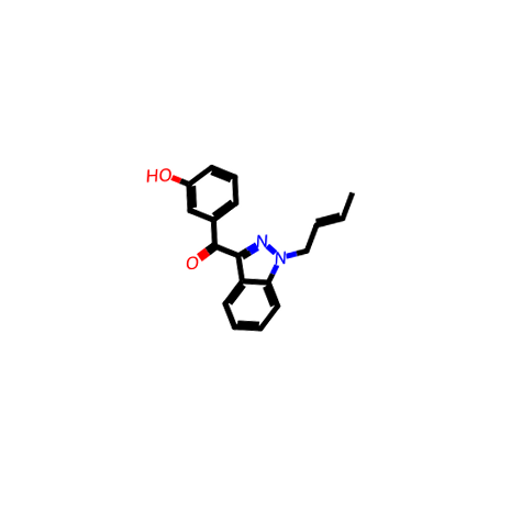 CC=CCn1nc(C(=O)c2cccc(O)c2)c2ccccc21